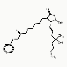 CCCCC(C)(O)CC=C[C@H]1[C@H](O)CC(=O)[C@@H]1CCCCCCC(=O)COc1ccccc1